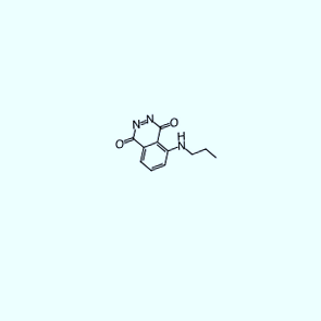 CCCNc1cccc2c1C(=O)N=NC2=O